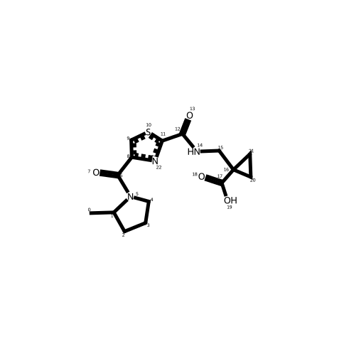 CC1CCCN1C(=O)c1csc(C(=O)NCC2(C(=O)O)CC2)n1